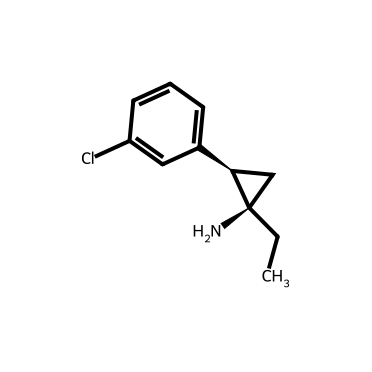 CC[C@@]1(N)C[C@@H]1c1cccc(Cl)c1